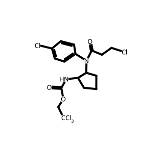 O=C(NC1CCCC1N(C(=O)CCCl)c1ccc(Cl)cc1)OCC(Cl)(Cl)Cl